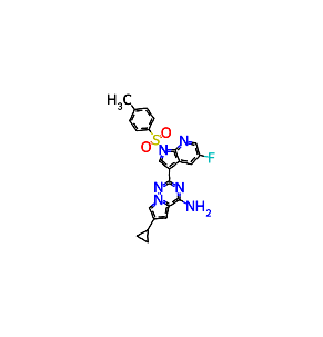 Cc1ccc(S(=O)(=O)n2cc(-c3nc(N)c4cc(C5CC5)cn4n3)c3cc(F)cnc32)cc1